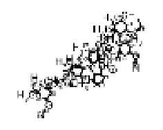 Cc1cc(C(c2ccccc2OC(=O)NCC2(C)CC(OC#N)CC(C)(C)C2)c2cc(C)c(OC(=O)NCC3(C)CC(OC#N)CC(C)(C)C3)c(C)c2C)c(C)c(C)c1OC(=O)NCC1(C)CC(OC#N)CC(C)(C)C1